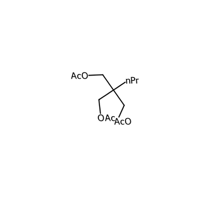 CCCC(COC(C)=O)(COC(C)=O)COC(C)=O